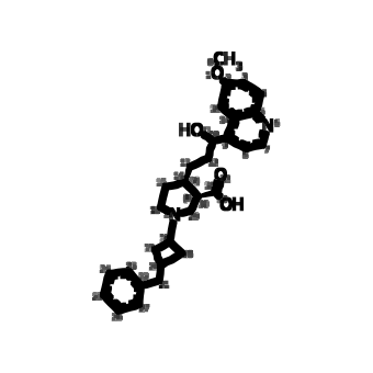 COc1ccc2nccc(C(O)CC[C@@H]3CCN(C4CC(Cc5ccccc5)C4)C[C@@H]3C(=O)O)c2c1